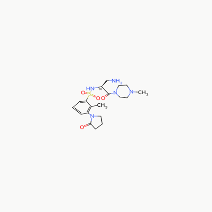 Cc1c(N2CCCC2=O)cccc1S(=O)(=O)N[C@@H](CN)C(=O)N1CCN(C)CC1